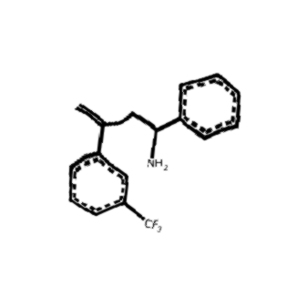 C=C(CC(N)c1ccccc1)c1cccc(C(F)(F)F)c1